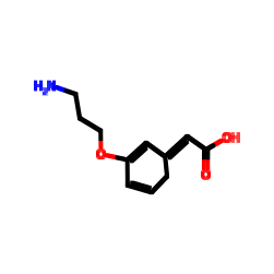 NCCCOC1=CC(=CC(=O)O)CC=C1